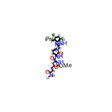 COC(=O)N[C@@H](CC/C=C/C(=O)N(C)C)C(=O)Nc1cccn(Cc2nc3c(CC(C)C)c(F)cc(F)c3[nH]2)c1=O